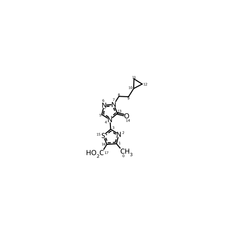 Cc1nc(-n2cnn(CCC3CC3)c2=O)sc1C(=O)O